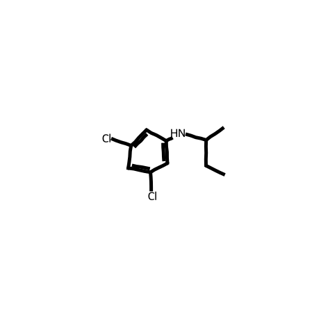 CCC(C)Nc1cc(Cl)cc(Cl)c1